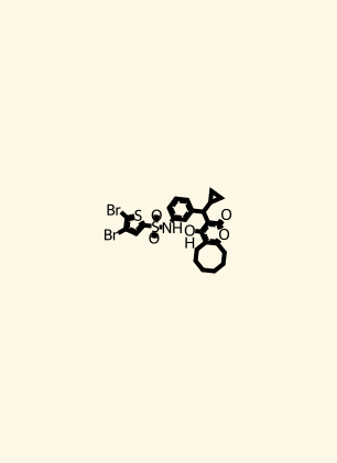 O=c1oc2c(c(O)c1C(c1cccc(NS(=O)(=O)c3cc(Br)c(Br)s3)c1)C1CC1)CCCCCC2